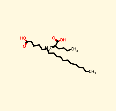 C=C(CCCC)C(=O)O.CCCCCCCCCCCCCCCCCC(=O)O